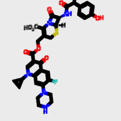 O=C(O)C1=C(COC(=O)c2cn(C3CC3)c3cc(N4CCNCC4)c(F)cc3c2=O)CS[C@@H]2[C@H](NC(=O)C(C(=O)O)c3ccc(O)cc3)C(=O)N12